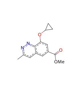 COC(=O)c1cc(OC2CC2)c2nnc(C)cc2c1